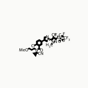 COCCCN(C(=O)c1cc(-c2cnn(-c3c(C(F)(F)F)c(OS(=O)(=O)C(F)(C(F)(F)F)C(F)(F)F)nn3C)c2)ccc1Cl)C1(C#N)CC1